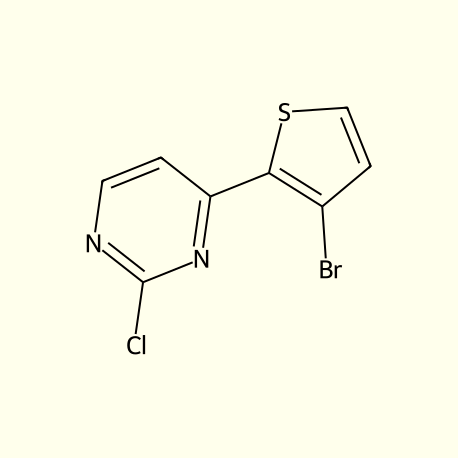 Clc1nccc(-c2sccc2Br)n1